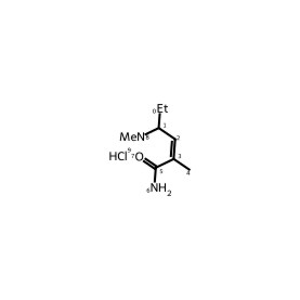 CCC(C=C(C)C(N)=O)NC.Cl